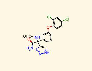 NC(=O)C(NC=O)(c1cccc(Oc2ccc(Cl)cc2Cl)c1)c1c[nH]nn1